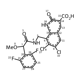 COC(C(=O)NCc1c(Cl)c(Cl)cc2cc(C(=O)O)c(=O)[nH]c12)c1c(F)cccc1F